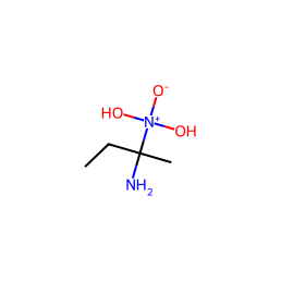 CCC(C)(N)[N+]([O-])(O)O